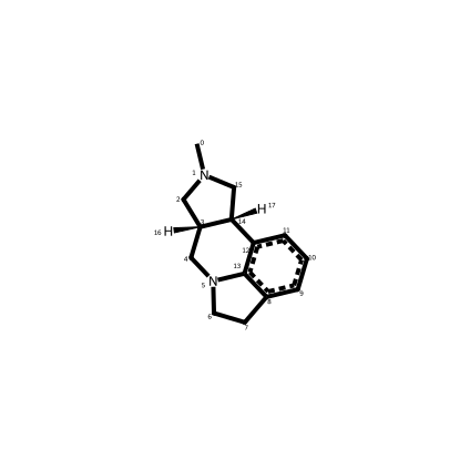 CN1C[C@H]2CN3CCc4cccc(c43)[C@H]2C1